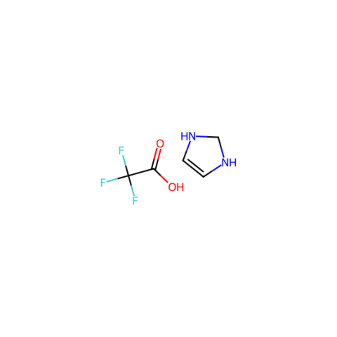 C1=CNCN1.O=C(O)C(F)(F)F